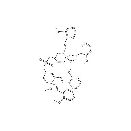 COc1ccccc1/C=C/C1=CC(CS(=O)(=O)CC2C=CC(/C=C/c3ccccc3OC)(OC)C(/C=C/c3ccccc3OC)=C2)C=CC1(/C=C/c1ccccc1OC)OC